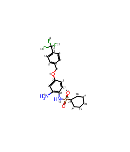 Nc1cc(OCc2ccc(C(F)(F)F)cc2)ccc1NS(=O)(=O)C1CCCCC1